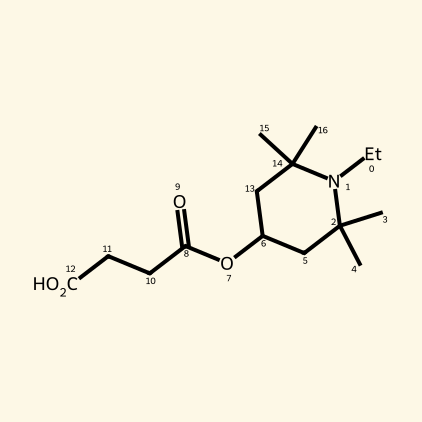 CCN1C(C)(C)CC(OC(=O)CCC(=O)O)CC1(C)C